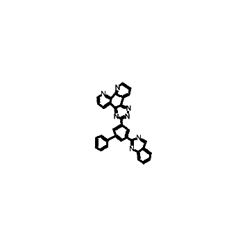 c1ccc(-c2cc(-c3ncc4ccccc4n3)cc(-c3nnc4c5cccnc5c5ncccc5c4n3)c2)cc1